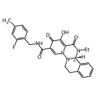 CCN1C(=O)c2c(O)c(=O)c(C(=O)NCc3ccc(C)cc3F)cn2N2CCc3ccccc3[C@@H]12